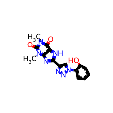 Cn1c(=O)c2[nH]c(-c3cn(-c4ccccc4O)nn3)nc2n(C)c1=O